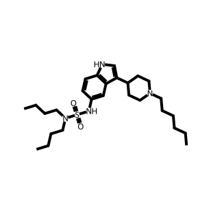 CCCCCCN1CCC(c2c[nH]c3ccc(NS(=O)(=O)N(CCCC)CCCC)cc23)CC1